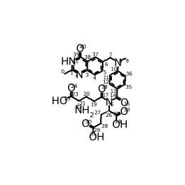 Cc1nc2ccc(CN(C)c3ccc(C(=O)N(C(=O)CC[C@H](N)C(=O)O)[C@H](CCC(=O)O)C(=O)O)cc3)cc2c(=O)[nH]1